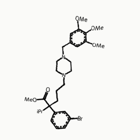 COC(=O)C(CCCN1CCN(Cc2cc(OC)c(OC)c(OC)c2)CC1)(c1cccc(Br)c1)C(C)C